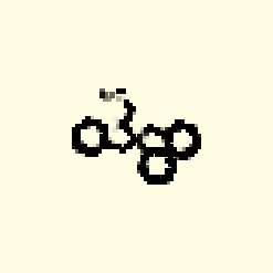 CC(=O)OCC(=O)[N+](Cc1ccccc1)(Cc1ccccc1)c1ccccc1